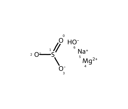 O=S([O-])[O-].[Mg+2].[Na+].[OH-]